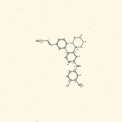 O=C(O)/C=C/c1cccc(-c2cnc(Nc3ccc(F)c([N+](=O)[O-])c3)nc2N2CCOCC2)c1